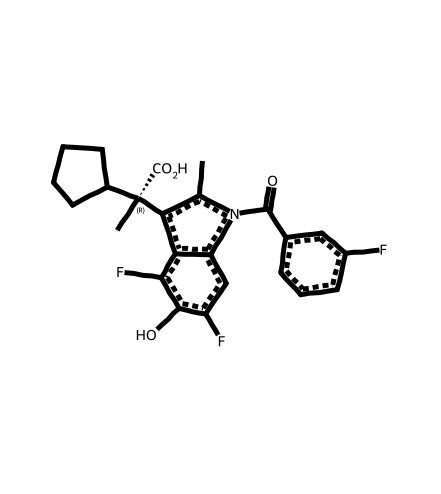 Cc1c([C@](C)(C(=O)O)C2CCCC2)c2c(F)c(O)c(F)cc2n1C(=O)c1cccc(F)c1